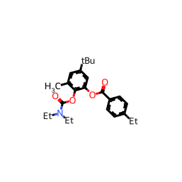 CCc1ccc(C(=O)Oc2cc(C(C)(C)C)cc(C)c2OC(=O)N(CC)CC)cc1